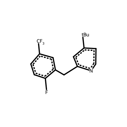 CC(C)(C)c1ccnc(Cc2cc(C(F)(F)F)ccc2F)c1